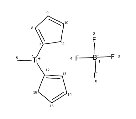 F[B-](F)(F)F.[CH3][Ti+]([C]1=CC=CC1)[C]1=CC=CC1